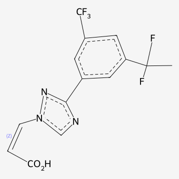 CC(F)(F)c1cc(-c2ncn(/C=C\C(=O)O)n2)cc(C(F)(F)F)c1